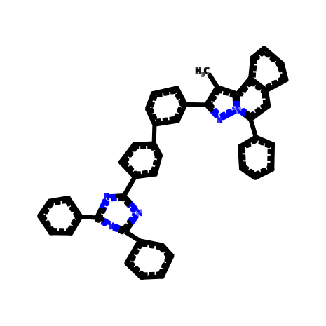 Cc1c(-c2cccc(-c3ccc(-c4nc(-c5ccccc5)nc(-c5ccccc5)n4)cc3)c2)nn2c(-c3ccccc3)cc3ccccc3c12